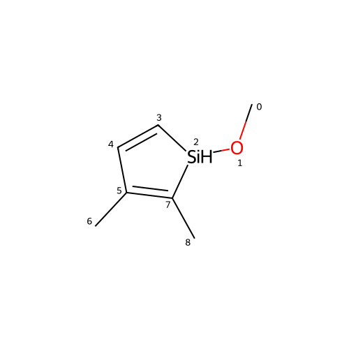 CO[SiH]1C=CC(C)=C1C